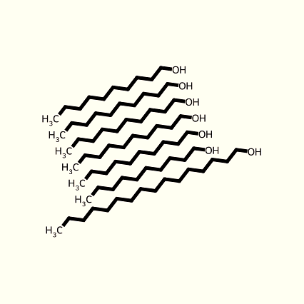 CCCCCCCCCCCCCCCCO.CCCCCCCCCCO.CCCCCCCCCCO.CCCCCCCCCCO.CCCCCCCCCCO.CCCCCCCCCCO.CCCCCCCCCCO